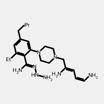 CCc1cc(CC(C)C)cc(N2CCN(C/C(N)=C/C=C\N)CC2)c1/C(N)=N/NN